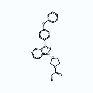 C=CC(=O)N1CC[C@@H](n2nc(-c3ccc(Oc4ccccc4)cc3)c3cnccc32)C1